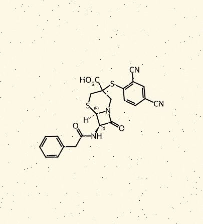 N#Cc1ccc(SC2(C(=O)O)CS[C@@H]3[C@H](NC(=O)Cc4ccccc4)C(=O)N3C2)c(C#N)c1